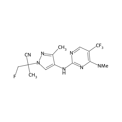 CNc1nc(Nc2cn(C(C)(C#N)CF)nc2C)ncc1C(F)(F)F